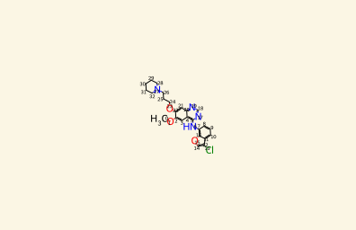 COc1cc2c(Nc3cccc4c(Cl)coc34)ncnc2cc1OCCCN1CCCCC1